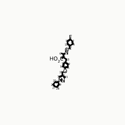 C/C(=N\OCc1ccc(F)cc1)C(Cc1ccc(OCc2cnn(-c3ccccc3)c2)cc1)C(=O)O